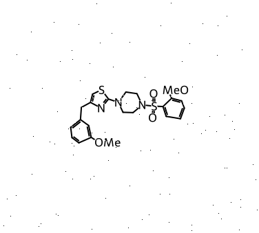 COc1cccc(Cc2csc(N3CCN(S(=O)(=O)c4ccccc4OC)CC3)n2)c1